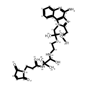 CCOCc1nc2c(N)nc3ccccc3c2n1CC(C)(C)OCCNC(O)C(C)(C)NC(=O)CCN1C(=O)C=CC1=O